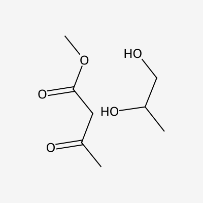 CC(O)CO.COC(=O)CC(C)=O